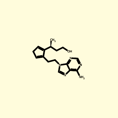 C[C@@H](CCO)C1=CCC=C1CCn1cnc2c(N)ncnc21